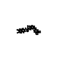 Cc1nc2ccc(CC(=O)NCC3CN(Cc4ccc(Cl)c(Cl)c4)CCO3)cc2nc1C